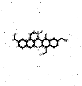 Cc1c2c(c(CC(C)C)c3ccc(CC(C)C)cc13)Sc1cc3ccc(CC(C)C)cc3c3cc[n+](C)c-2c13